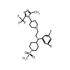 Cc1nnc(C(F)(F)F)n1C1CCN(CC[C@@H](c2cc(F)cc(F)c2)C2CCN(S(C)(=O)=O)CC2)CC1